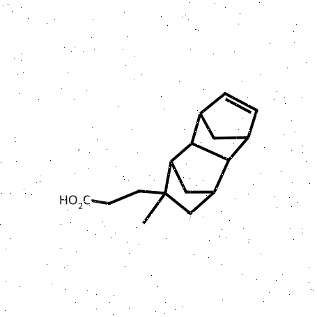 CC1(CCC(=O)O)CC2CC1C1C3C=CC(C3)C21